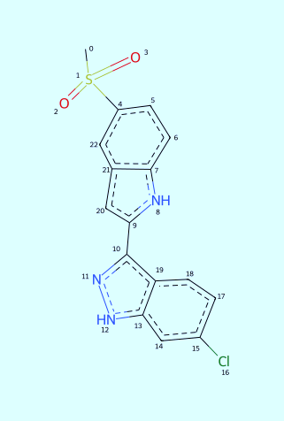 CS(=O)(=O)c1ccc2[nH]c(-c3n[nH]c4cc(Cl)ccc34)cc2c1